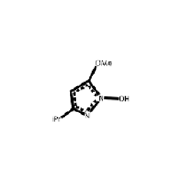 COc1cc(C(C)C)nn1O